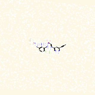 CC#Cc1cncc(-c2cc(=O)[nH]c(-c3cc(CNC(=O)C(C)C)ccc3Cl)n2)c1